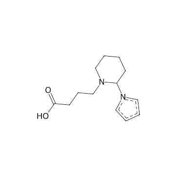 O=C(O)CCCN1CCCCC1n1cccc1